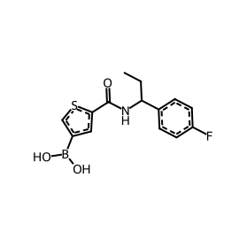 CCC(NC(=O)c1cc(B(O)O)cs1)c1ccc(F)cc1